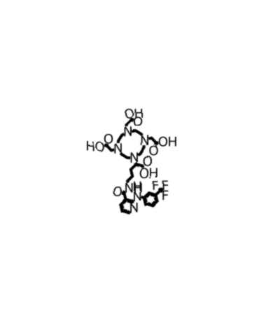 O=C(O)CN1CCN(CC(=O)O)CCN(C(CCCNC(=O)c2cccnc2Nc2cccc(C(F)(F)F)c2)C(=O)O)CCN(CC(=O)O)CC1